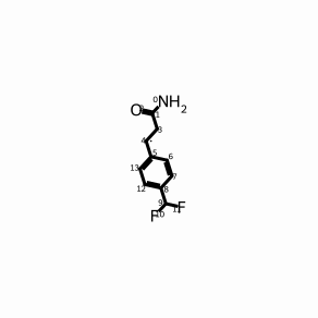 NC(=O)C[CH]c1ccc(C(F)F)cc1